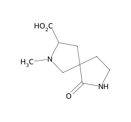 CN1CC2(CCNC2=O)CC1C(=O)O